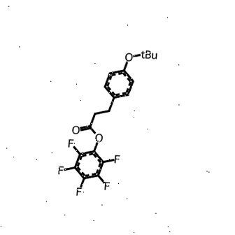 CC(C)(C)Oc1ccc(CCC(=O)Oc2c(F)c(F)c(F)c(F)c2F)cc1